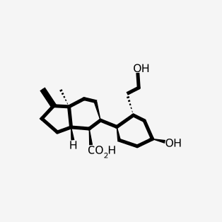 C=C1CC[C@H]2[C@H](C(=O)O)[C@H]([C@@H]3CC[C@H](O)C[C@H]3CCO)CC[C@]12C